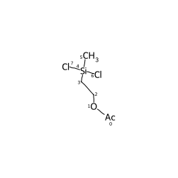 CC(=O)OCC[Si](C)(Cl)Cl